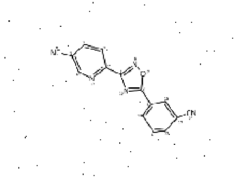 N#Cc1ccc(-c2noc(-c3cccc(C#N)c3)n2)nc1